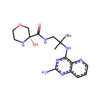 CCCCC(C)(CNC(=O)[C@]1(O)COCCN1)Nc1nc(N)nc2cccnc12